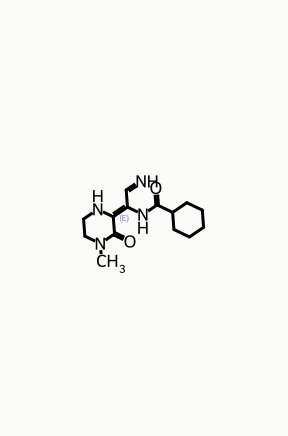 CN1CCN/C(=C(\C=N)NC(=O)C2CCCCC2)C1=O